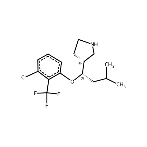 CC(C)C[C@H](Oc1cccc(Cl)c1C(F)(F)F)[C@@H]1CCNC1